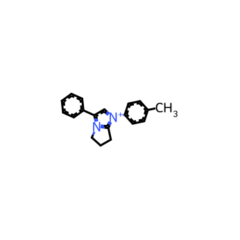 Cc1ccc(-[n+]2cc(-c3ccccc3)n3c2CCC3)cc1